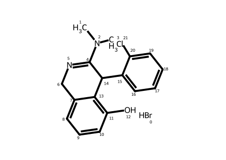 Br.CN(C)C1=NCc2cccc(O)c2C1c1ccccc1Cl